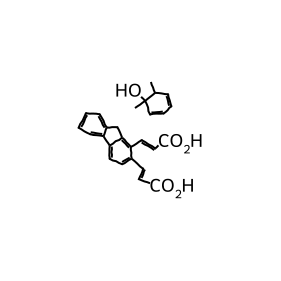 CC1C=CC=CC1(C)O.O=C(O)C=Cc1ccc2c(c1C=CC(=O)O)Cc1ccccc1-2